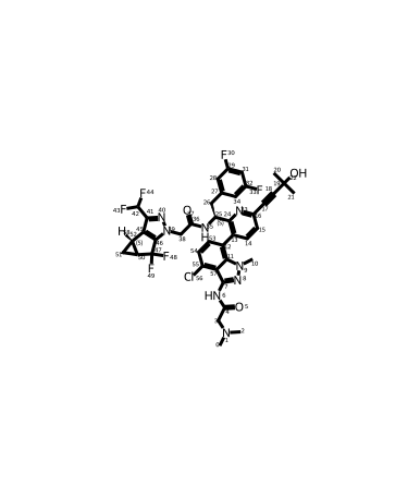 CN(C)CC(=O)Nc1nn(C)c2c(-c3ccc(C#CC(C)(C)O)nc3[C@H](Cc3cc(F)cc(F)c3)NC(=O)Cn3nc(C(F)F)c4c3C(F)(F)C3C[C@H]43)ccc(Cl)c12